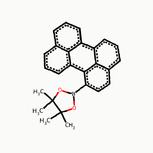 CC1(C)OB(c2ccc3cccc4c5cccc6cccc(c2c34)c65)OC1(C)C